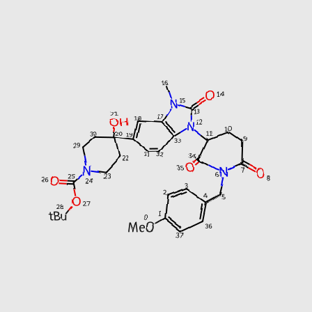 COc1ccc(CN2C(=O)CCC(n3c(=O)n(C)c4cc(C5(O)CCN(C(=O)OC(C)(C)C)CC5)ccc43)C2=O)cc1